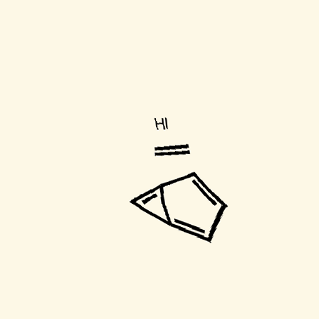 C=C.I.c1cc2cc-2c1